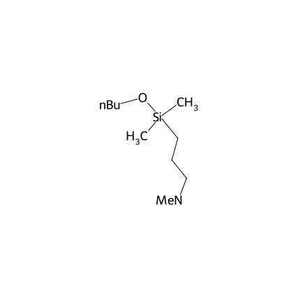 CCCCO[Si](C)(C)CCCNC